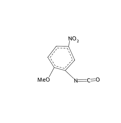 COc1ccc([N+](=O)[O-])cc1N=C=O